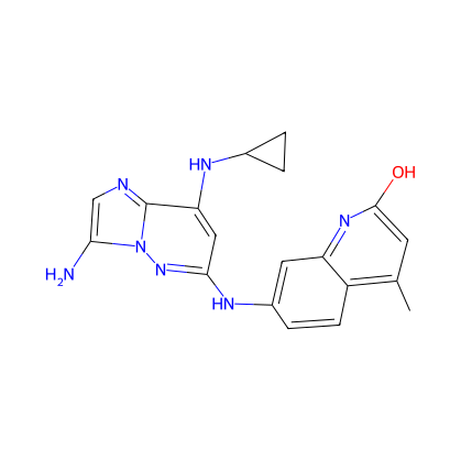 Cc1cc(O)nc2cc(Nc3cc(NC4CC4)c4ncc(N)n4n3)ccc12